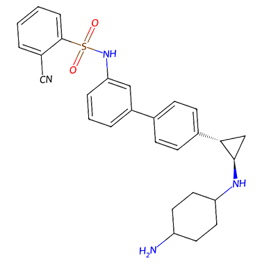 N#Cc1ccccc1S(=O)(=O)Nc1cccc(-c2ccc([C@@H]3C[C@H]3NC3CCC(N)CC3)cc2)c1